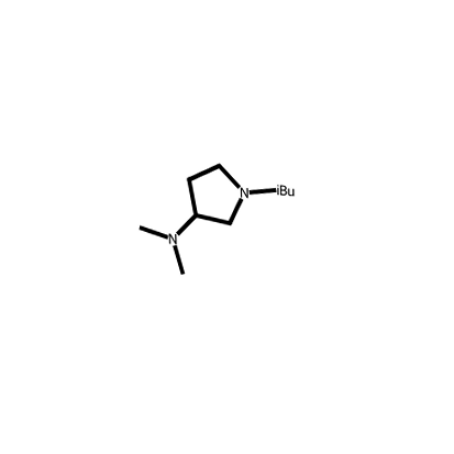 CCC(C)N1CCC(N(C)C)C1